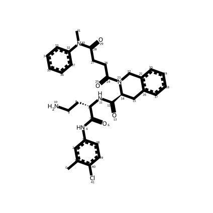 Cc1cc(NC(=O)[C@H](CCN)NC(=O)[C@@H]2Cc3ccccc3CN2C(=O)CCC(=O)N(C)c2ccccc2)ccc1Cl